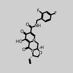 C=C[C@H]1CO[C@@H]2Cn3cc(C(=O)NCc4ccc(F)cc4F)c(=O)c(O)c3C(=O)N12